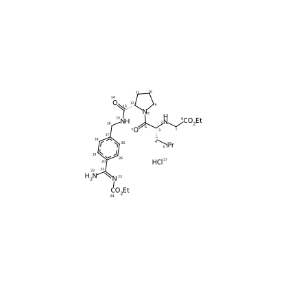 CCOC(=O)CN[C@H](CC(C)C)C(=O)N1CCC[C@H]1C(=O)NCc1ccc(C(N)=NC(=O)OCC)cc1.Cl